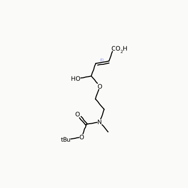 CN(CCOC(O)/C=C/C(=O)O)C(=O)OC(C)(C)C